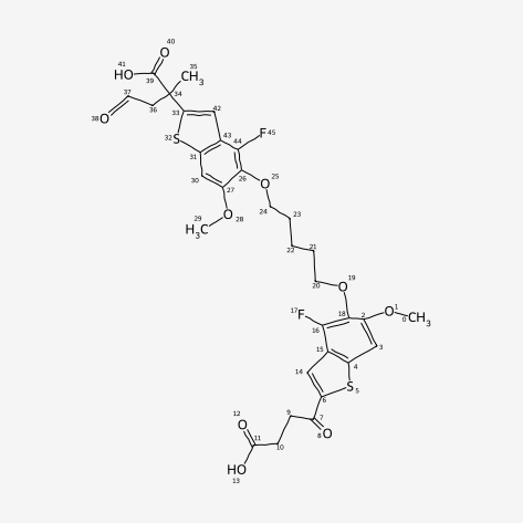 COc1cc2sc(C(=O)CCC(=O)O)cc2c(F)c1OCCCCCOc1c(OC)cc2sc(C(C)(CC=O)C(=O)O)cc2c1F